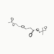 CC(=O)OCCOCCC(=O)OCC1(C)COC1